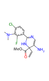 C=CC1(C(=O)OC)NC(c2ccc(Cl)c(N(C)C)c2F)=NC=C1N